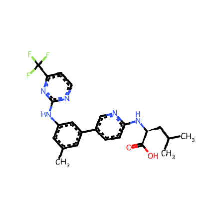 Cc1cc(Nc2nccc(C(F)(F)F)n2)cc(-c2ccc(N[C@@H](CC(C)C)C(=O)O)nc2)c1